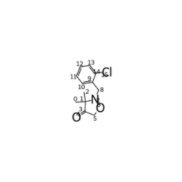 CC1(C)C(=O)CON1Cc1ccccc1Cl